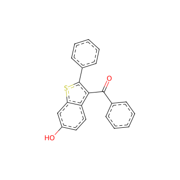 O=C(c1ccccc1)c1c(-c2ccccc2)sc2cc(O)ccc12